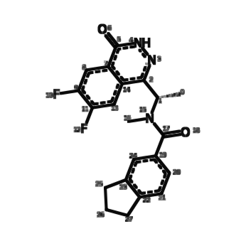 C[C@@H](c1n[nH]c(=O)c2cc(F)c(F)cc12)N(C)C(=O)c1ccc2c(c1)CCC2